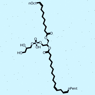 CCCCC/C=C\C/C=C\CCCCCCCCCC(=O)O[C@H](COC(=O)CCCCCCC/C=C\CCCCCCCC)COP(=O)(O)OC[C@@H](O)CO